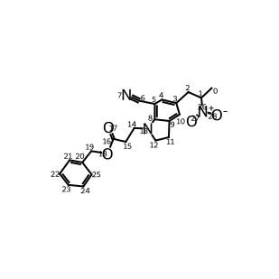 CC(Cc1cc(C#N)c2c(c1)CCN2CCC(=O)OCc1ccccc1)[N+](=O)[O-]